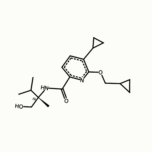 CC(C)[C@@](C)(CO)NC(=O)c1ccc(C2CC2)c(OCC2CC2)n1